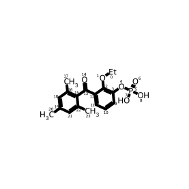 CCOc1c(OP(=O)(O)O)cccc1C(=O)c1c(C)cc(C)cc1C